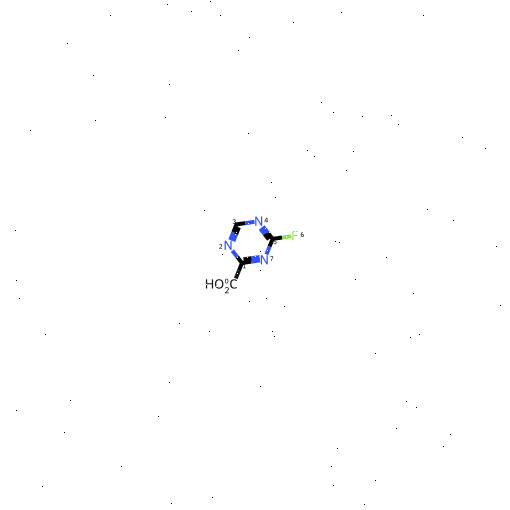 O=C(O)c1ncnc(F)n1